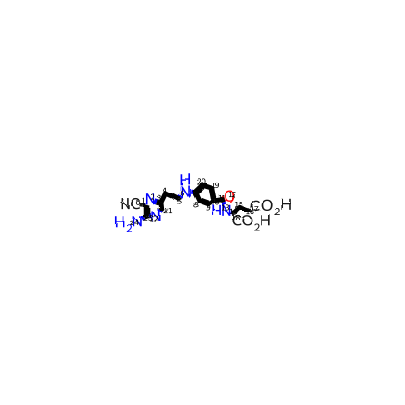 N#Cc1nc(CCNc2ccc(C(=O)NC(CCC(=O)O)C(=O)O)cc2)cnc1N